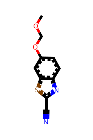 COCOc1ccc2nc(C#N)sc2c1